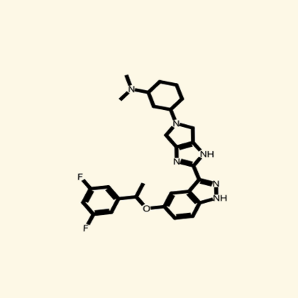 CC(Oc1ccc2[nH]nc(-c3nc4c([nH]3)CN(C3CCCC(N(C)C)C3)C4)c2c1)c1cc(F)cc(F)c1